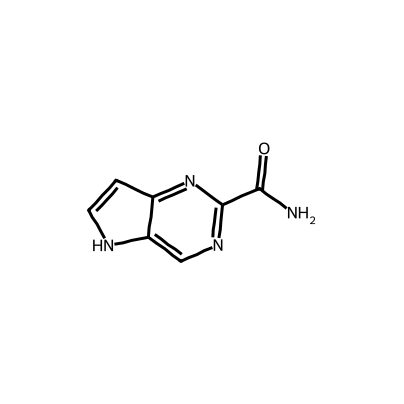 NC(=O)c1ncc2[nH]ccc2n1